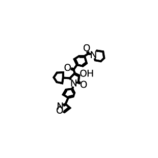 O=C(C1=C(O)C(=O)N(c2ccc(-c3ccon3)cc2)C1C1CCCCC1)c1ccc(C(=O)N2CCCCC2)cc1